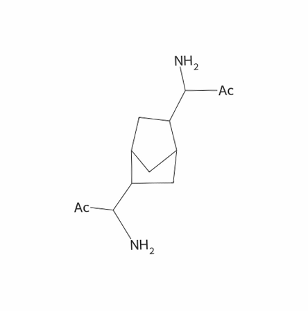 CC(=O)C(N)C1CC2CC1CC2C(N)C(C)=O